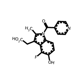 Cc1c(CC(=O)O)c2c(F)c(O)ccc2n1C(=O)c1ccncc1